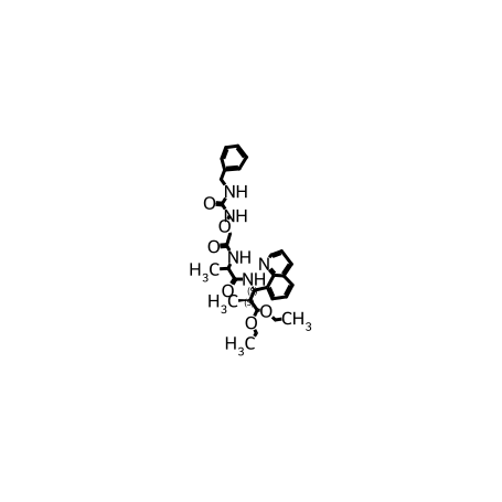 CCOC(OCC)[C@@H](C)[C@H](NC(=O)C(C)NC(=O)CONC(=O)NCc1ccccc1)c1cccc2cccnc12